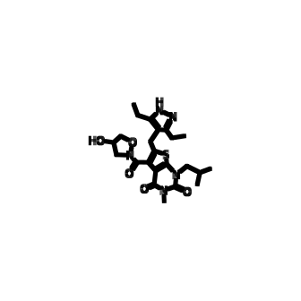 CCc1n[nH]c(CC)c1Cc1sc2c(c1C(=O)N1CC(O)CO1)c(=O)n(C)c(=O)n2CC(C)C